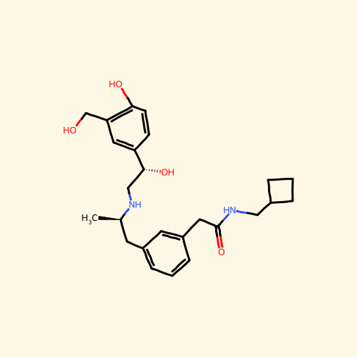 C[C@H](Cc1cccc(CC(=O)NCC2CCC2)c1)NC[C@@H](O)c1ccc(O)c(CO)c1